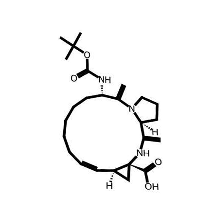 C=C1N[C@]2(C(=O)O)C[C@H]2/C=C\CCCCC[C@H](NC(=O)OC(C)(C)C)C(=C)N2CCC[C@@H]12